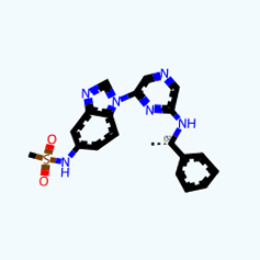 C[C@H](Nc1cncc(-n2cnc3cc(NS(C)(=O)=O)ccc32)n1)c1ccccc1